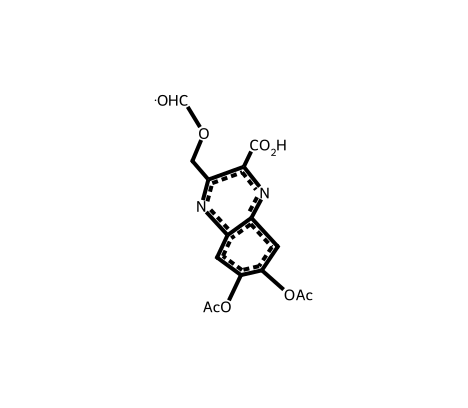 CC(=O)Oc1cc2nc(CO[C]=O)c(C(=O)O)nc2cc1OC(C)=O